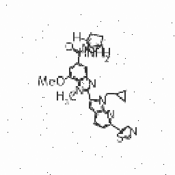 COc1cc(C(=O)N2C[C@H]3CC[C@@H]2[C@@H]3N)cc2nc(-c3cc4ccc(-c5cncs5)nc4n3CC3CC3)n(C)c12